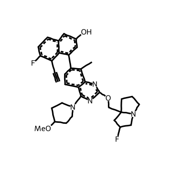 C#Cc1c(F)ccc2cc(O)cc(-c3ccc4c(N5CCC(OC)CC5)nc(OCC56CCCN5CC(F)C6)nc4c3C)c12